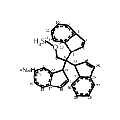 [NaH].[SiH3]OCC(C1C=Cc2ccccc21)(C1C=Cc2ccccc21)C1C=Cc2ccccc21